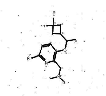 CC(Oc1ccc(Br)nc1CN(C)C)C1CC(F)(F)C1